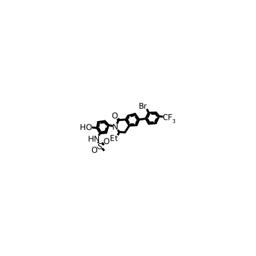 CCC1Cc2cc(-c3ccc(C(F)(F)F)cc3Br)ccc2C(=O)N1c1ccc(O)c(NS(C)(=O)=O)c1